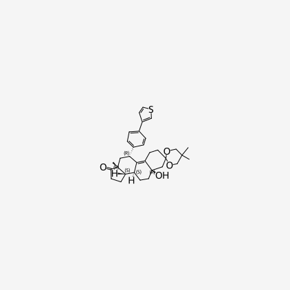 CC1(C)COC2(CCC3=C4[C@@H](CC[C@@]3(O)C2)[C@@H]2CCC(=O)[C@]2(C)C[C@@H]4c2ccc(-c3ccsc3)cc2)OC1